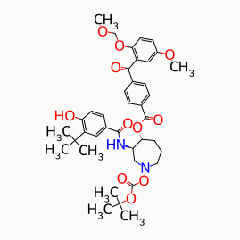 COCOc1ccc(OC)cc1C(=O)c1ccc(C(=O)O[C@@H]2CCCN(OC(=O)OC(C)(C)C)C[C@H]2NC(=O)c2ccc(O)c(C(C)(C)C)c2)cc1